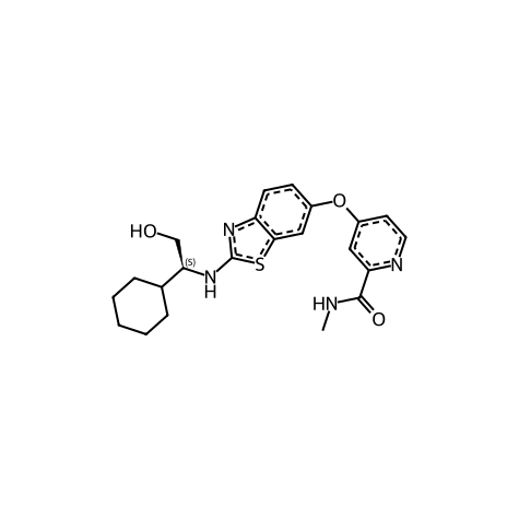 CNC(=O)c1cc(Oc2ccc3nc(N[C@H](CO)C4CCCCC4)sc3c2)ccn1